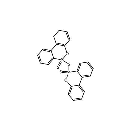 S=P1(SP2(=S)Oc3ccccc3-c3ccccc32)OC2=C(CCC=C2)c2ccccc21